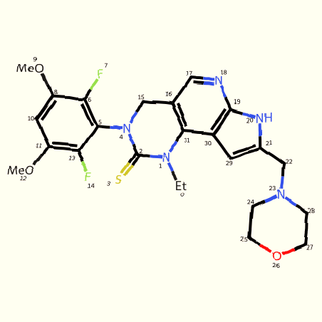 CCN1C(=S)N(c2c(F)c(OC)cc(OC)c2F)Cc2cnc3[nH]c(CN4CCOCC4)cc3c21